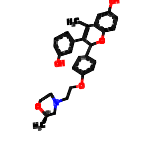 CC1=C(c2cccc(O)c2)C(c2ccc(OCCN3CCO[C@H](C)C3)cc2)Oc2ccc(O)cc21